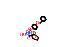 O=C(NO)C1(NS(=O)(=O)c2ccc(OCc3ccccc3)cc2)CC2CCC(C1)O2